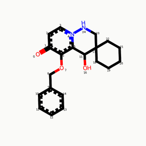 O=c1ccn2c(c1OCc1ccccc1)C(O)C1(CCCCC1)CN2